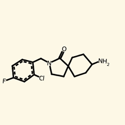 NC1CCC2(CC1)CCN(Cc1ccc(F)cc1Cl)C2=O